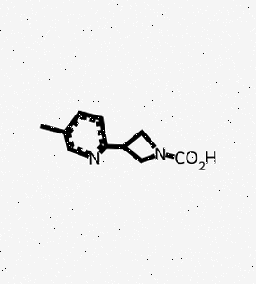 Cc1ccc(C2CN(C(=O)O)C2)nc1